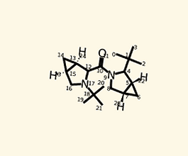 CC(C)(C)C1[C@@H]2C[C@@H]2CN1C(=O)C1[C@@H]2C[C@@H]2CN1C(C)(C)C